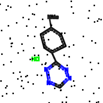 CNc1ccc(-c2nncnn2)cc1.Cl